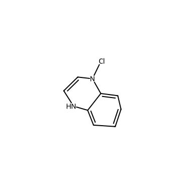 ClN1C=CNc2ccccc21